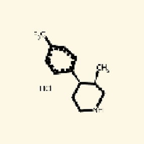 C[C@H]1CNCC[C@H]1c1ccc(C(F)(F)F)cc1.Cl